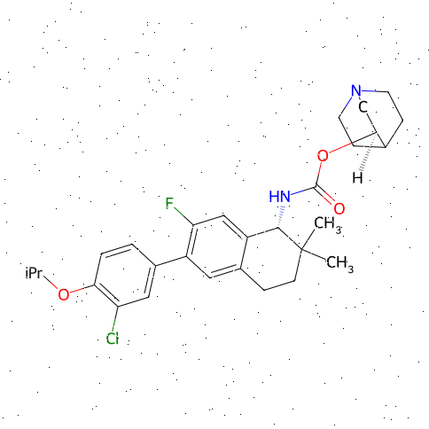 CC(C)Oc1ccc(-c2cc3c(cc2F)[C@H](NC(=O)O[C@H]2CN4CCC2CC4)C(C)(C)CC3)cc1Cl